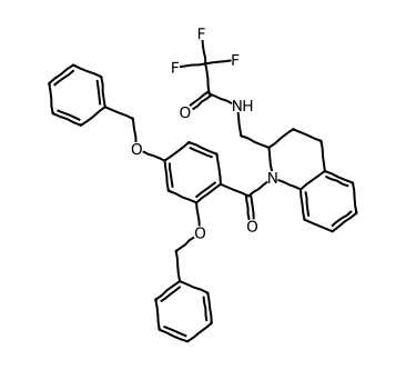 O=C(c1ccc(OCc2ccccc2)cc1OCc1ccccc1)N1c2ccccc2CCC1CNC(=O)C(F)(F)F